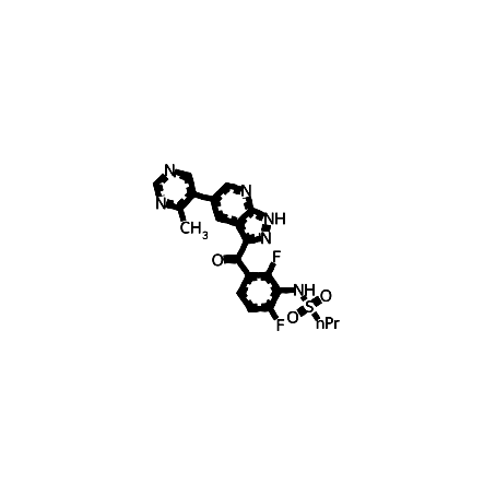 CCCS(=O)(=O)Nc1c(F)ccc(C(=O)c2n[nH]c3ncc(-c4cncnc4C)cc23)c1F